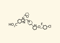 O=C(O)c1ccc2c(c1)nc(CN1CC=C(c3cccc(OCc4ccc(Cl)cc4F)n3)CC1)n2C[C@@H]1CCCO1